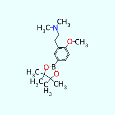 COc1ccc(B2OC(C)(C)C(C)(C)O2)cc1CCN(C)C